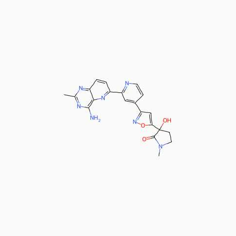 Cc1nc(N)c2nc(-c3cc(-c4cc(C5(O)CCN(C)C5=O)on4)ccn3)ccc2n1